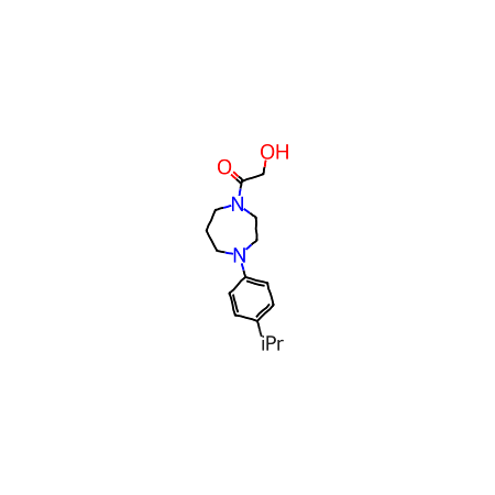 CC(C)c1ccc(N2CCCN(C(=O)CO)CC2)cc1